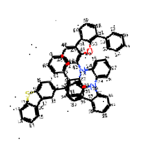 c1ccc(-c2c(-c3ccc4sc5ccccc5c4c3)cccc2N(c2ccccc2-n2c3ccccc3c3ccccc32)c2cccc3c2oc2c(-c4ccccc4)cccc23)cc1